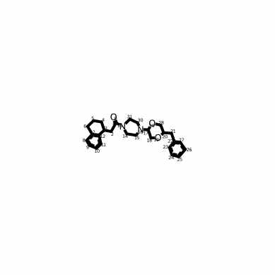 O=C(CC1CCCc2ccccc21)N1CCN(C2COC(Cc3ccccc3)CO2)CC1